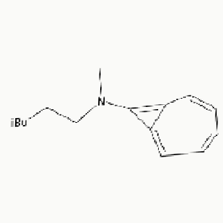 CCC(C)CCN(C)C1=C2C=CC=CC=C21